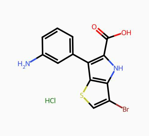 Cl.Nc1cccc(-c2c(C(=O)O)[nH]c3c(Br)csc23)c1